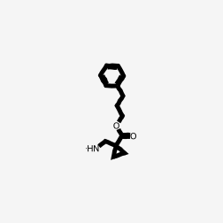 [NH]CC1(C(=O)OCCCc2ccccc2)CC1